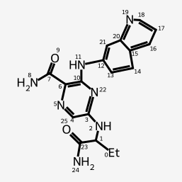 CCC(Nc1cnc(C(N)=O)c(Nc2ccc3cccnc3c2)n1)C(N)=O